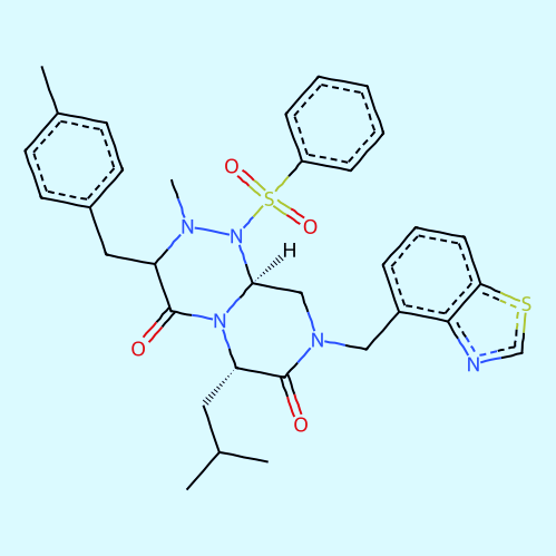 Cc1ccc(CC2C(=O)N3[C@@H](CC(C)C)C(=O)N(Cc4cccc5scnc45)C[C@@H]3N(S(=O)(=O)c3ccccc3)N2C)cc1